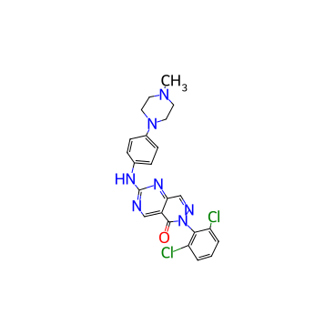 CN1CCN(c2ccc(Nc3ncc4c(=O)n(-c5c(Cl)cccc5Cl)ncc4n3)cc2)CC1